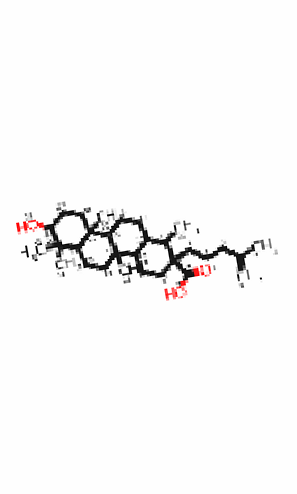 C=C(C)CCCC1(C(=O)O)CCC2C(CCC3C2(C)CCC2C(C)(C)C(O)CCC23C)C1C